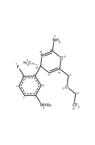 CC(=O)Nc1ccc(F)c([C@]2(C)C=C(COCC(F)(F)F)OC(N)=N2)c1